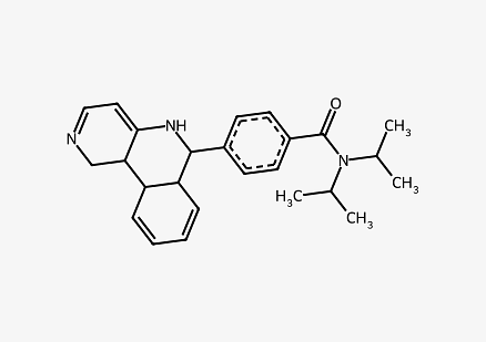 CC(C)N(C(=O)c1ccc(C2NC3=CC=NCC3C3C=CC=CC23)cc1)C(C)C